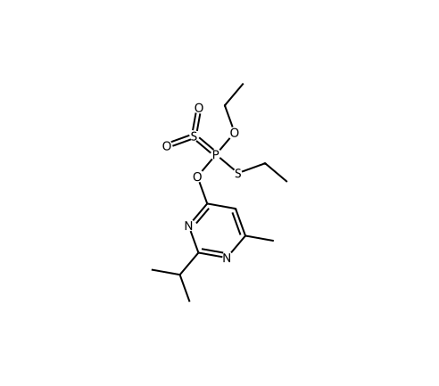 CCOP(Oc1cc(C)nc(C(C)C)n1)(SCC)=S(=O)=O